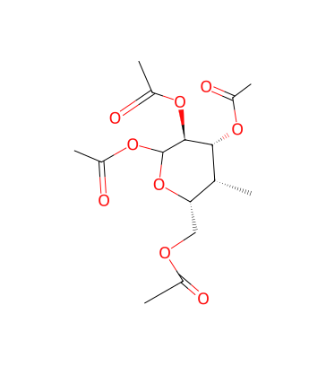 CC(=O)OC[C@@H]1OC(OC(C)=O)[C@@H](OC(C)=O)[C@H](OC(C)=O)[C@@H]1C